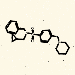 O=S(=O)(c1ccc(CN2CCCCC2)cc1)N(Cc1ccccc1)CC1CC1